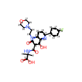 CC(C)(NC(=O)c1c(O)c2nc(-c3ccc(F)cc3)ccc2n(CCN2CCOCC2)c1=O)C(=O)O